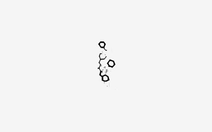 CC(c1ccccc1)N1CCC(CCC(=O)c2cc3cc(N)ccc3n2S(=O)(=O)c2ccccc2)CC1